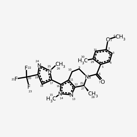 COc1ccc(C(=O)N2CCc3c(nn(C)c3-c3cc(C(F)(F)F)nn3C)[C@@H]2C)c(C)c1